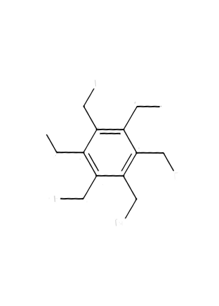 FCc1c(CF)c(CF)c(CBr)c(CF)c1CF